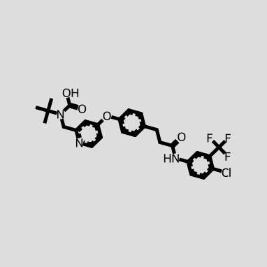 CC(C)(C)N(Cc1cc(Oc2ccc(CCC(=O)Nc3ccc(Cl)c(C(F)(F)F)c3)cc2)ccn1)C(=O)O